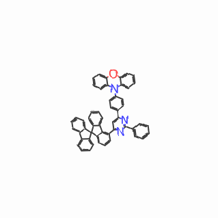 c1ccc(-c2nc(-c3ccc(N4c5ccccc5Oc5ccccc54)cc3)cc(-c3cccc4c3-c3ccccc3C43c4ccccc4-c4ccccc43)n2)cc1